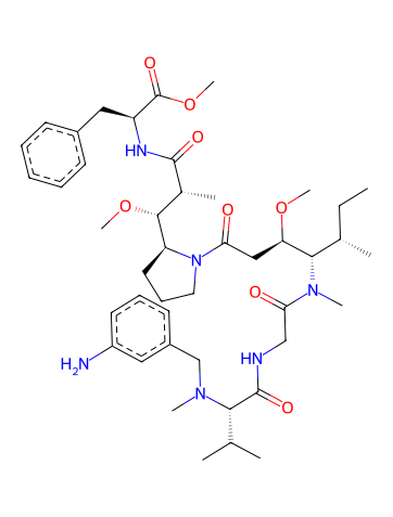 CC[C@H](C)[C@@H]([C@@H](CC(=O)N1CCC[C@H]1[C@H](OC)[C@@H](C)C(=O)N[C@@H](Cc1ccccc1)C(=O)OC)OC)N(C)C(=O)CNC(=O)[C@H](C(C)C)N(C)Cc1cccc(N)c1